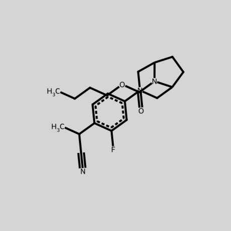 CCCCOC(=O)N1C2CCC1CN(c1ccc(C(C)C#N)c(F)c1)C2